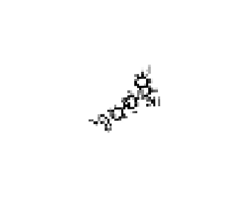 CCOC(=O)N1CCC(N2CCC(N3C(O)CC4CC(Cl)=CCC43)CC2)CC1